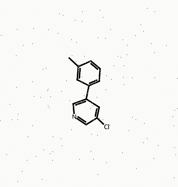 Cc1cccc(-c2cncc(Cl)c2)c1